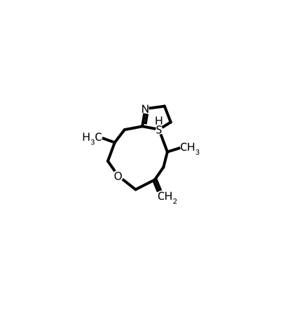 C=C1COCC(C)CC2=NCC[SH]2C(C)C1